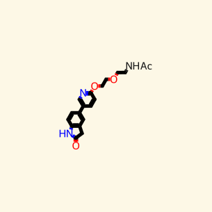 CC(=O)NCCOCCOc1ccc(-c2ccc3c(c2)CC(=O)N3)cn1